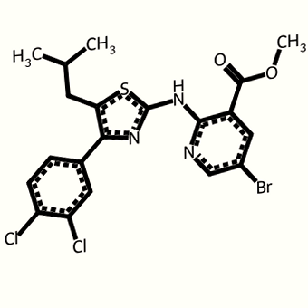 COC(=O)c1cc(Br)cnc1Nc1nc(-c2ccc(Cl)c(Cl)c2)c(CC(C)C)s1